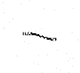 CC=CCC=CCCCCCC=CCC